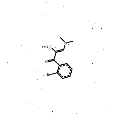 CCOC(=O)C(=CN(C)C)C(=O)c1ccccc1Br